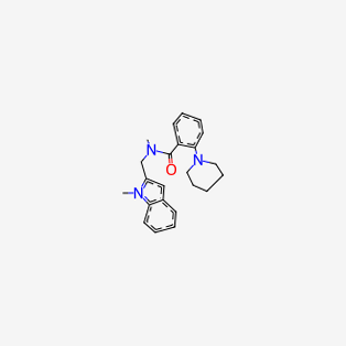 CN(Cc1cc2ccccc2n1C)C(=O)c1ccccc1N1CCCCC1